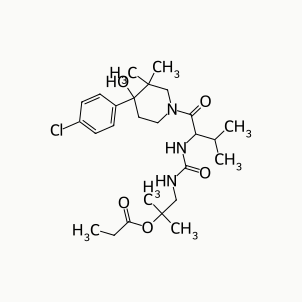 CCC(=O)OC(C)(C)CNC(=O)NC(C(=O)N1CCC(O)(c2ccc(Cl)cc2)C(C)(C)C1)C(C)C